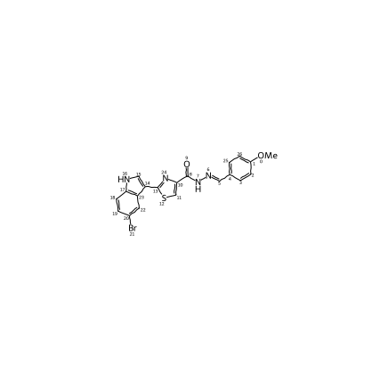 COc1ccc(/C=N/NC(=O)c2csc(-c3c[nH]c4ccc(Br)cc34)n2)cc1